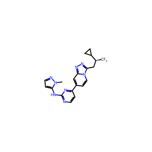 Cn1nccc1Nc1nccc(-c2ccn3c(C[C@@H](C4CC4)C(F)(F)F)nnc3c2)n1